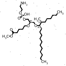 CCCCCCCCCCC[C@@H](OC[C@H](COP(=O)(O)OCCN)OCCCCC(=O)OC)[C@@H](C)CCCCCC